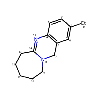 CCc1ccc2c(c1)CN1CCCCCC1=N2